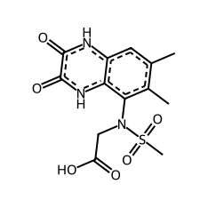 Cc1cc2[nH]c(=O)c(=O)[nH]c2c(N(CC(=O)O)S(C)(=O)=O)c1C